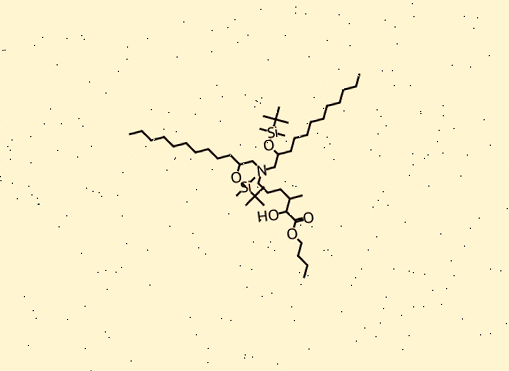 CCCCCCCCCCC(CN(CCCC(C)C(O)C(=O)OCCCC)CC(CCCCCCCCCC)O[Si](C)(C)C(C)(C)C)O[Si](C)(C)C(C)(C)C